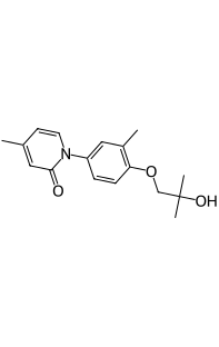 Cc1ccn(-c2ccc(OCC(C)(C)O)c(C)c2)c(=O)c1